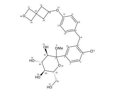 COC1(c2ccc(Cl)c(Cc3ccc(OC4CC5(COC5)C4)cc3)c2)O[C@H](CO)[C@@H](O)[C@H](O)[C@H]1O